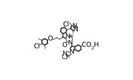 Cc1cc(OCCCc2c3n(c4c(-c5c(C)nn(C)c5C)c(Cl)ccc24)[C@H](C)CN(c2cn(C[C@H]4CCC[N+]4(C)C)c4ccc(C(=O)O)cc24)C3=O)cc(C)c1Cl